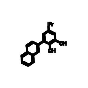 CC(C)c1cc(O)c(O)c(-c2ccc3ccccc3c2)c1